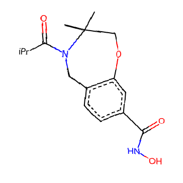 CC(C)C(=O)N1Cc2ccc(C(=O)NO)cc2OCC1(C)C